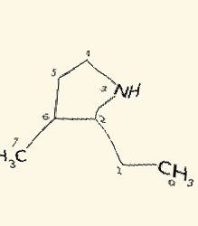 CCC1NCCC1C